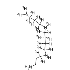 [2H]N([2H])C([2H])([2H])C([2H])([2H])C([2H])([2H])N([2H])C([2H])([2H])C([2H])([2H])C([2H])([2H])C([2H])([2H])N([2H])C([2H])([2H])CCN